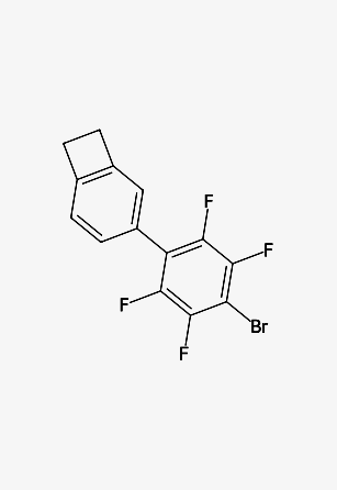 Fc1c(F)c(-c2ccc3c(c2)CC3)c(F)c(F)c1Br